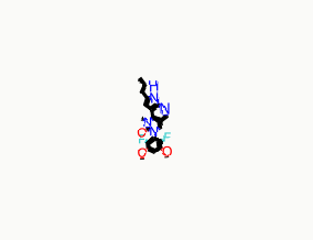 CCCc1cc2c3c(cnc2[nH]1)CN(c1c(F)c(OC)cc(OC)c1F)C(=O)N3C